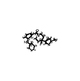 Cc1ccc(C(=O)N2CCC(F)(c3ccc(C#N)cc3)CC2)cc1NC1CCCCC1